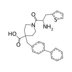 NC(Cc1cccs1)C(=O)N1CCC(Cc2ccc(-c3ccccc3)cc2)(C(=O)O)CC1